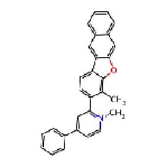 Cc1c(-c2cc(-c3ccccc3)cc[n+]2C)ccc2c1oc1cc3ccccc3cc12